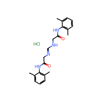 Cc1cccc(C)c1NC(=O)CN=CNCC(=O)Nc1c(C)cccc1C.Cl